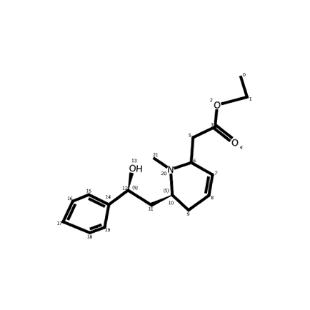 CCOC(=O)CC1C=CC[C@@H](C[C@H](O)c2ccccc2)N1C